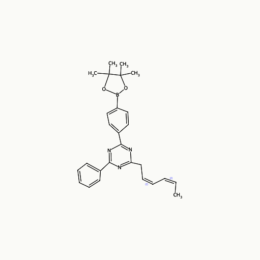 C/C=C\C=C/Cc1nc(-c2ccccc2)nc(-c2ccc(B3OC(C)(C)C(C)(C)O3)cc2)n1